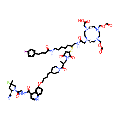 CC(CN1C(=O)CC(SC(CCCCCNC(=O)CCCc2ccc(I)cc2)CNC(=O)CN2CCN(COC=O)CCN(COC=O)CCN(CC(=O)O)CC2)C1=O)C(=O)N1CCC(CCCCOc2ccc3nccc(C(=O)NCC(=O)N4CC(C)(F)C[C@@H]4C#N)c3c2)CC1